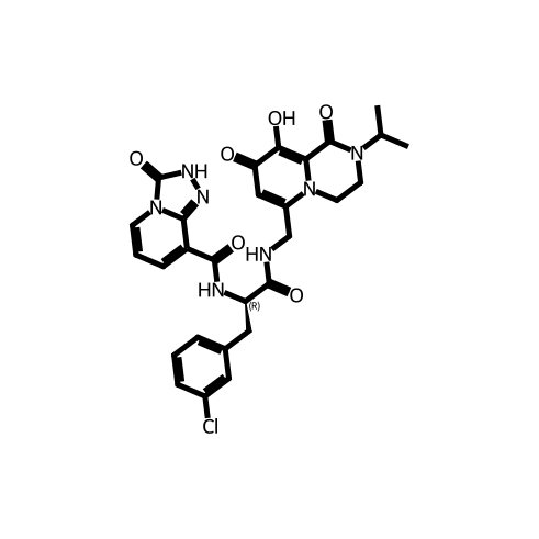 CC(C)N1CCn2c(CNC(=O)[C@@H](Cc3cccc(Cl)c3)NC(=O)c3cccn4c(=O)[nH]nc34)cc(=O)c(O)c2C1=O